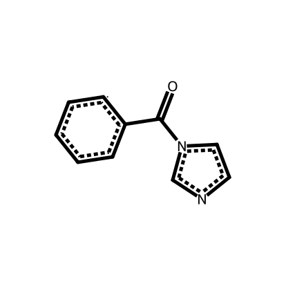 O=C(c1[c]cccc1)n1ccnc1